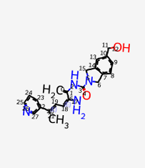 C=C(NC(=O)N1Cc2ccc(CO)cc2C1)/C(N)=C\C=C(/C)c1cccnc1